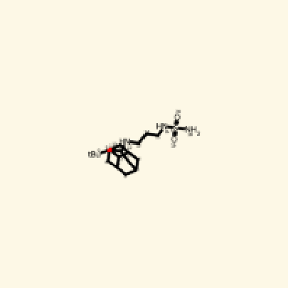 CC(C)(C)CC1C2CC3CC1CC(C2)C3NCCCNS(N)(=O)=O